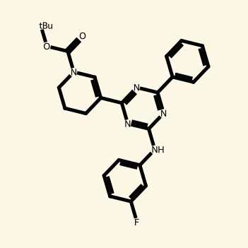 CC(C)(C)OC(=O)N1C=C(c2nc(Nc3cccc(F)c3)nc(-c3ccccc3)n2)CCC1